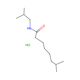 CC(C)CCCCCC(=O)NCC(C)C.Cl